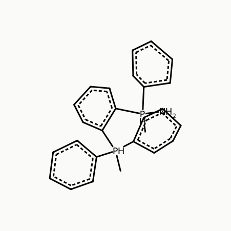 C[PH](N)(c1ccccc1)c1ccccc1[PH](C)(c1ccccc1)c1ccccc1